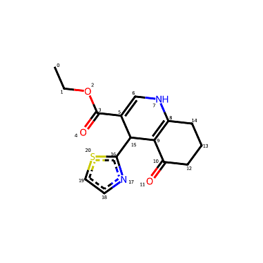 CCOC(=O)C1=CNC2=C(C(=O)CCC2)C1c1nccs1